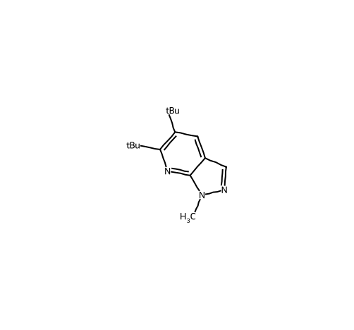 Cn1ncc2cc(C(C)(C)C)c(C(C)(C)C)nc21